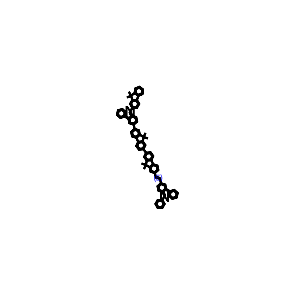 CC1(C)c2cc(/C=C/c3ccc4c(c3)c3ccccc3n4-c3ccccc3)ccc2-c2ccc(-c3ccc4c(c3)C(C)(C)c3cc(-c5ccc6c(c5)c5ccccc5n6-c5ccc6c(c5)C(C)(C)c5ccccc5-6)ccc3-4)cc21